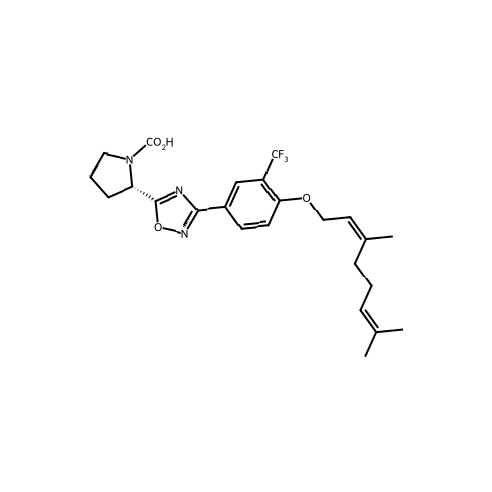 CC(C)=CCCC(C)=CCOc1ccc(-c2noc([C@@H]3CCCN3C(=O)O)n2)cc1C(F)(F)F